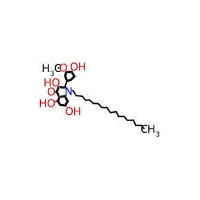 CCCCCCCCCCCCCCCCCCn1c(-c2ccc(O)c(OC)c2)c(O)c(=O)c2c(O)cc(O)cc21